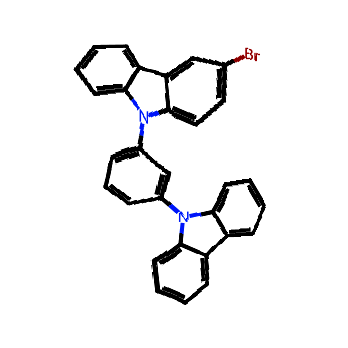 Brc1ccc2c(c1)c1ccccc1n2-c1cccc(-n2c3ccccc3c3ccccc32)c1